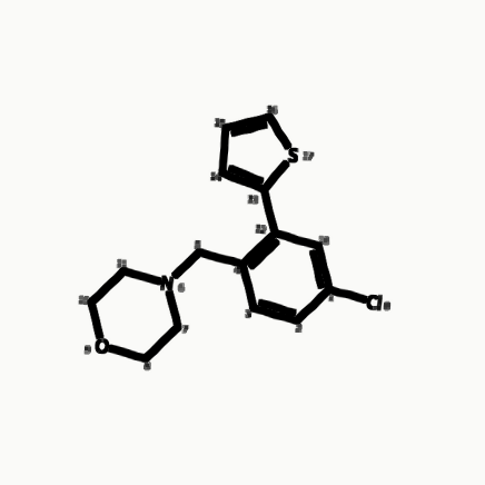 Clc1ccc(CN2CCOCC2)c(-c2cccs2)c1